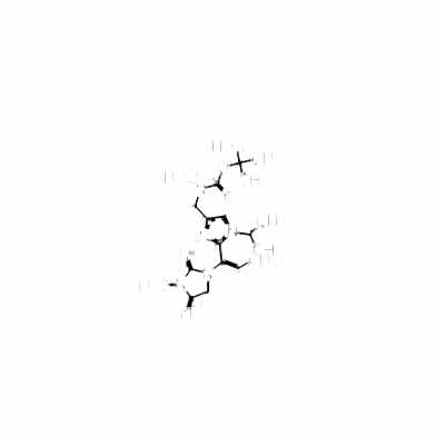 C/C=C(\c1nc(CN(C)C(=O)OC(C)(C)C)cn1C(C)C)N1CC(=O)N(C)C1=O